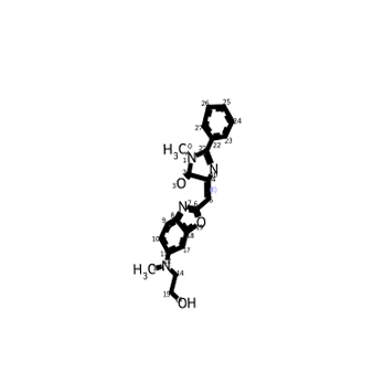 CN1C(=O)/C(=C\c2nc3ccc(N(C)CCO)cc3o2)N=C1c1ccccc1